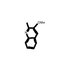 [CH2]c1nc2ccccc2cc1OC